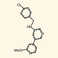 COc1cc(-c2cncc(NCc3ccc(Cl)cc3)c2)ccn1